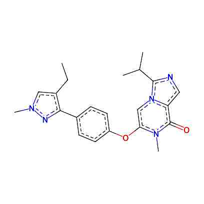 CCc1cn(C)nc1-c1ccc(Oc2cn3c(C(C)C)ncc3c(=O)n2C)cc1